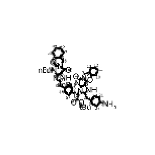 CCCCn1c2c(c(=O)n(Cc3ccccc3)c1=O)NC(Cc1ccc(N)cc1)N2N(C(=O)OC(C)(C)C)c1ccc(Cc2nc3c([nH]2)c(=O)n(Cc2ccccc2)c(=O)n3CCCC)cc1